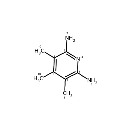 Cc1c(N)nc(N)c(C)c1C